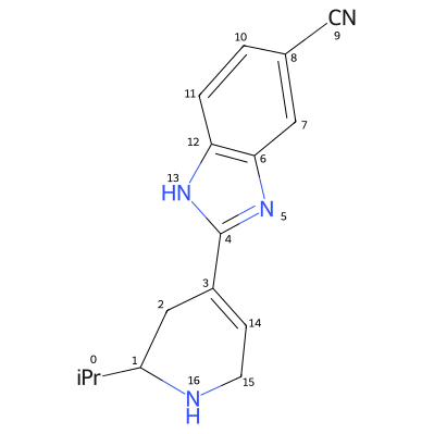 CC(C)C1CC(c2nc3cc(C#N)ccc3[nH]2)=CCN1